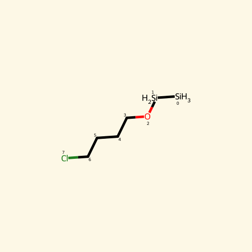 [SiH3][SiH2]OCCCCCl